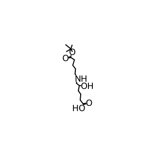 CC(C)(C)OC(=O)CCCCNCC(O)CCCC(=O)O